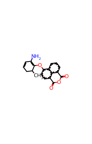 CC1CC=CC(N)=C1Oc1ccc2c3c(cccc13)C(=O)OC2=O